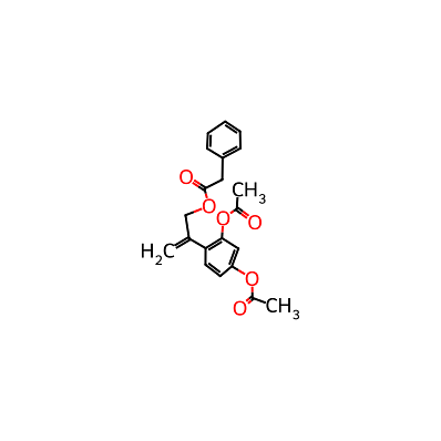 C=C(COC(=O)Cc1ccccc1)c1ccc(OC(C)=O)cc1OC(C)=O